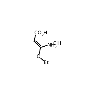 CCOC(N)=CC(=O)O.Cl